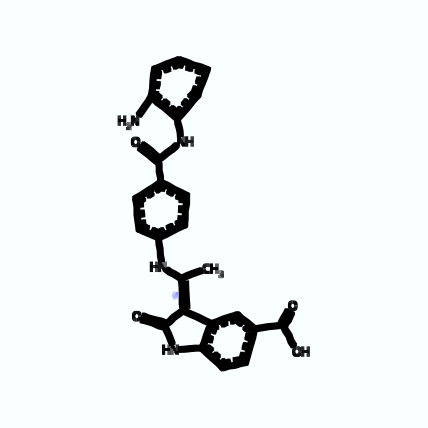 C/C(Nc1ccc(C(=O)Nc2ccccc2N)cc1)=C1/C(=O)Nc2ccc(C(=O)O)cc21